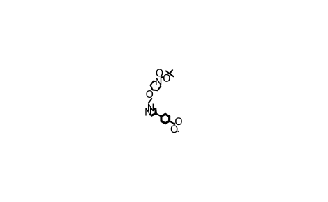 COC(=O)c1ccc(-c2cnn(CCOC3CCN(C(=O)OC(C)(C)C)CC3)c2)cc1